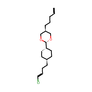 C=CCCC[C@H]1CO[C@H]([C@H]2CC[C@H](CC/C=C/Cl)CC2)OC1